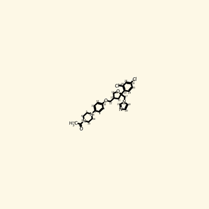 CC(=O)N1CCN(c2ccc(OCC3COC(Cn4ccnc4)(c4ccc(Cl)cc4Cl)C3)cc2)CC1